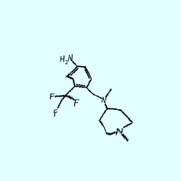 CN1CCC(N(C)Cc2ccc(N)cc2C(F)(F)F)CC1